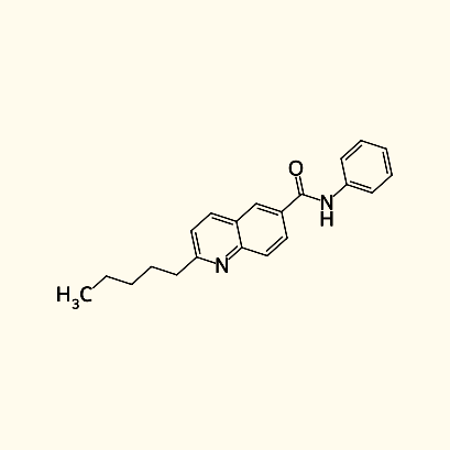 CCCCCc1ccc2cc(C(=O)Nc3ccccc3)ccc2n1